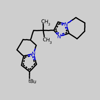 CC(C)(C)c1cc2n(c1)CC(CC(C)(C)c1cn3c(n1)CCCC3)CC2